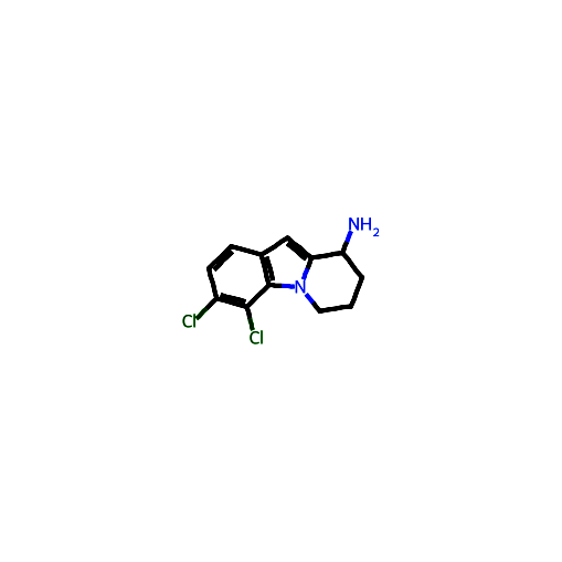 NC1CCCn2c1cc1ccc(Cl)c(Cl)c12